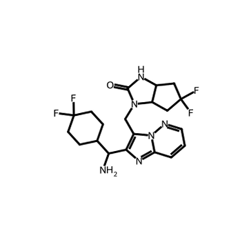 NC(c1nc2cccnn2c1CN1C(=O)NC2CC(F)(F)CC21)C1CCC(F)(F)CC1